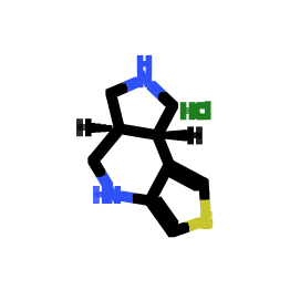 Cl.c1scc2c1NC[C@H]1CNC[C@H]21